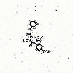 COc1ccc2c(c1)CC(C(=O)O)N2C(=O)[C@H](C)NC(=O)OCc1ccccc1